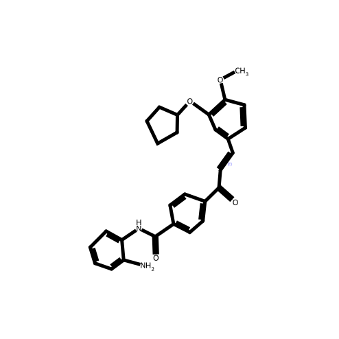 COc1ccc(/C=C/C(=O)c2ccc(C(=O)Nc3ccccc3N)cc2)cc1OC1CCCC1